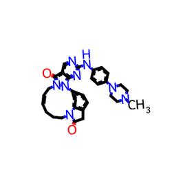 CN1CCN(c2ccc(Nc3ncc4c(=O)n5n(c4n3)-c3ccc4c(c3)N(CCC/C=C\C5)C(=O)C4)cc2)CC1